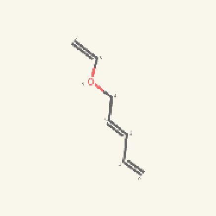 C=CC=CCOC=C